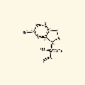 C=CS(=O)(=O)N1CCc2ccc(Br)cc21